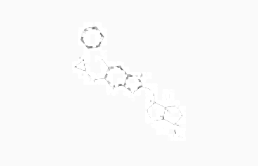 O[C@@H]1CO[C@H]2[C@@H]1OC[C@H]2Oc1nc2nc(N[C@H]3C[C@@H]3c3ccccc3)c(Cl)cc2[nH]1